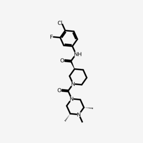 C[C@@H]1CN(C(=O)N2CCC[C@H](C(=O)Nc3ccc(Cl)c(F)c3)C2)C[C@H](C)N1C